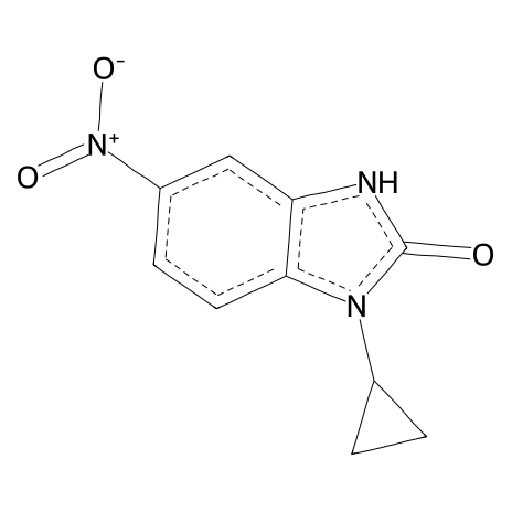 O=c1[nH]c2cc([N+](=O)[O-])ccc2n1C1CC1